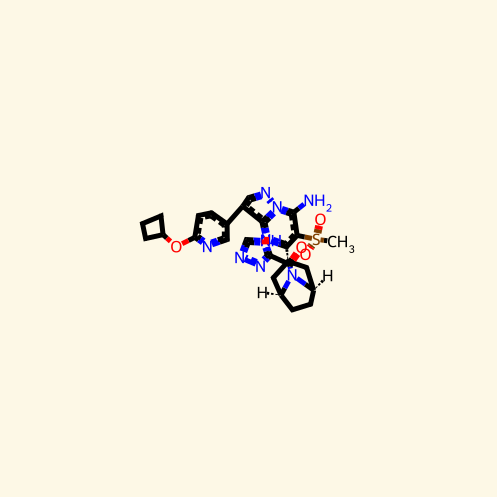 CS(=O)(=O)c1c([C@@H]2C[C@H]3CC[C@@H](C2)N3C(=O)c2nnc[nH]2)nc2c(-c3ccc(OC4CCC4)nc3)cnn2c1N